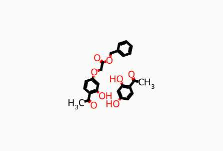 CC(=O)c1ccc(O)cc1O.CC(=O)c1ccc(OCC(=O)OCc2ccccc2)cc1O